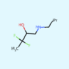 CC(C)CNCC(O)C(C)(F)F